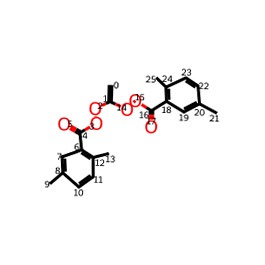 C=C(OOC(=O)c1cc(C)ccc1C)OOC(=O)c1cc(C)ccc1C